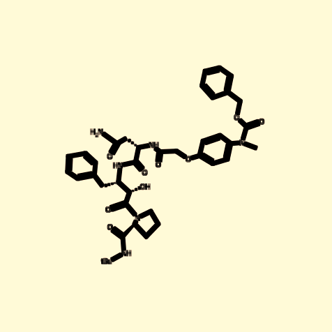 CN(C(=O)OCc1ccccc1)c1ccc(OCC(=O)N[C@@H](CC(N)=O)C(=O)N[C@@H](Cc2ccccc2)[C@H](O)C(=O)N2CCC[C@H]2C(=O)NC(C)(C)C)cc1